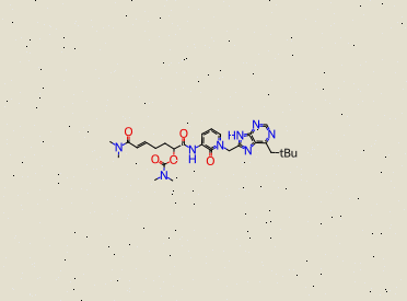 CN(C)C(=O)C=CCCC(OC(=O)N(C)C)C(=O)Nc1cccn(Cc2nc3c(CC(C)(C)C)ncnc3[nH]2)c1=O